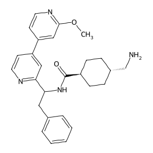 COc1cc(-c2ccnc(C(Cc3ccccc3)NC(=O)[C@H]3CC[C@H](CN)CC3)c2)ccn1